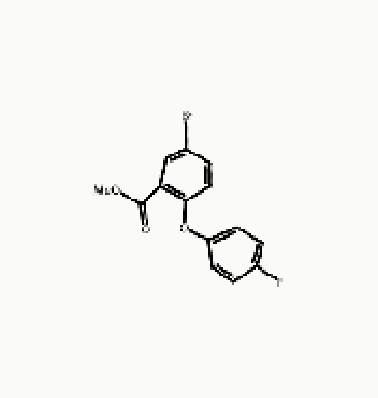 COC(=O)c1cc(Br)ccc1Oc1ccc(F)cc1